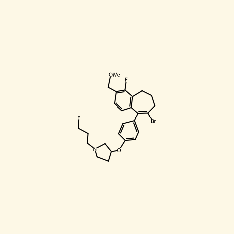 COCc1ccc2c(c1F)CCCC(Br)=C2c1ccc(OC2CCN(CCCF)C2)cc1